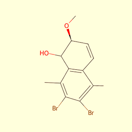 CO[C@H]1C=Cc2c(C)c(Br)c(Br)c(C)c2C1O